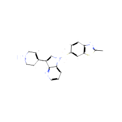 Cc1nc2ccc(S(=O)(=O)n3cc(C4=CCNCC4)c4ncccc43)cc2s1